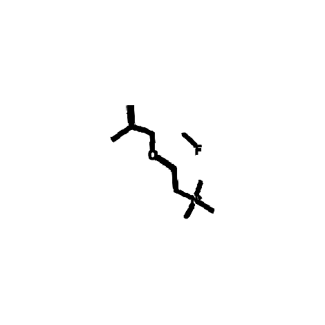 CC(C)COCC[N+](C)(C)C.CF